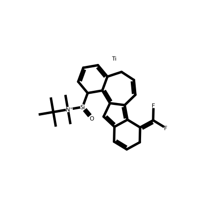 CC(C)(C)[N+](C)(C)[Si](=O)C1C=CC=C2CC=CC3=C4C(=CC3=C21)C=CCC4=C(F)F.[Ti]